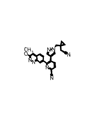 COc1cc2ccc(-c3nc(C#N)ccc3-c3cnn(CC4(CC#N)CC4)c3)cc2nn1